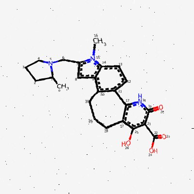 CC1CCCN1Cc1cc2c3c(ccc2n1C)-c1[nH]c(=O)c(C(=O)O)c(O)c1CCC3